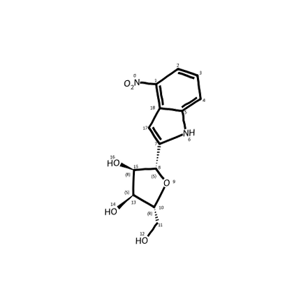 O=[N+]([O-])c1cccc2[nH]c([C@@H]3O[C@H](CO)[C@@H](O)[C@H]3O)cc12